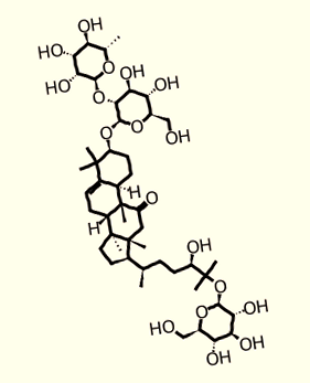 C[C@H](CC[C@@H](O)C(C)(C)O[C@@H]1O[C@H](CO)[C@@H](O)[C@H](O)[C@H]1O)[C@H]1CC[C@@]2(C)[C@@H]3CC=C4[C@@H](CC[C@H](O[C@@H]5O[C@H](CO)[C@@H](O)[C@H](O)[C@H]5O[C@@H]5O[C@@H](C)[C@H](O)[C@@H](O)[C@H]5O)C4(C)C)[C@]3(C)C(=O)C[C@]12C